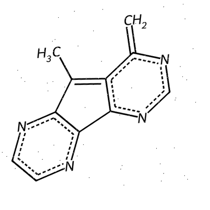 C=c1ncnc2c1=C(C)c1nccnc1-2